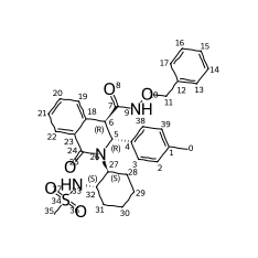 Cc1ccc([C@H]2[C@H](C(=O)NOCc3ccccc3)c3ccccc3C(=O)N2[C@H]2CCCC[C@@H]2NS(C)(=O)=O)cc1